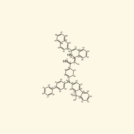 C/C(C(=N)C1=CC=C(N(c2ccc(-c3ccccc3)cc2)c2ccc3c(c2)C(C)(C)c2ccccc2-3)CC1)=C1/NC(c2ccc3ccccc3c2)=Cc2ccccc21